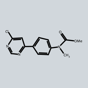 COC(=O)N(C)c1ccc(-c2cc(Cl)ncn2)cc1